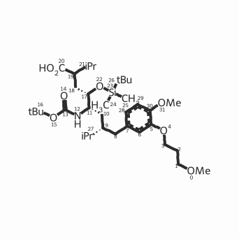 COCCCOc1cc(C[C@@H](C[C@H](NC(=O)OC(C)(C)C)[C@H](CC(C(=O)O)C(C)C)O[Si](C)(C)C(C)(C)C)C(C)C)ccc1OC